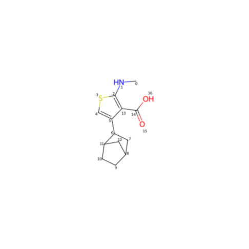 CNc1scc(C2CC3CCC2C3)c1C(=O)O